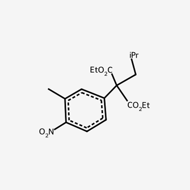 CCOC(=O)C(CC(C)C)(C(=O)OCC)c1ccc([N+](=O)[O-])c(C)c1